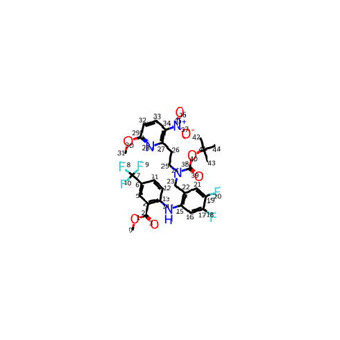 COC(=O)c1cc(C(F)(F)F)ccc1Nc1cc(F)c(F)cc1CN(CCc1nc(OC)ccc1[N+](=O)[O-])C(=O)OC(C)(C)C